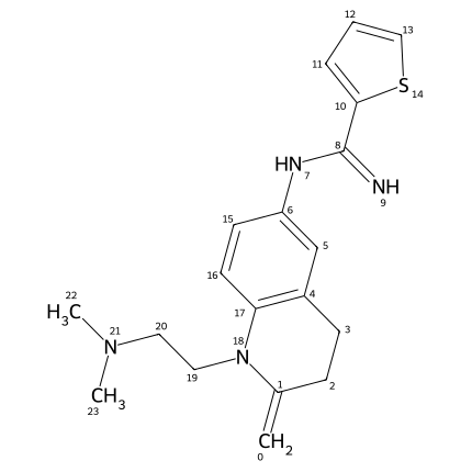 C=C1CCc2cc(NC(=N)c3cccs3)ccc2N1CCN(C)C